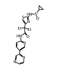 CCC(CC)(C(=O)Nc1ccc(-c2cnccn2)cn1)c1csc(N[S+]([O-])C2CC2)n1